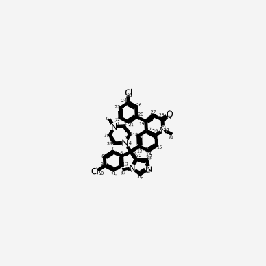 CN1CCN(C(c2ccc(Cl)cc2)(c2ccc3c(c2)c(-c2cccc(Cl)c2)cc(=O)n3C)c2cncn2C)CC1